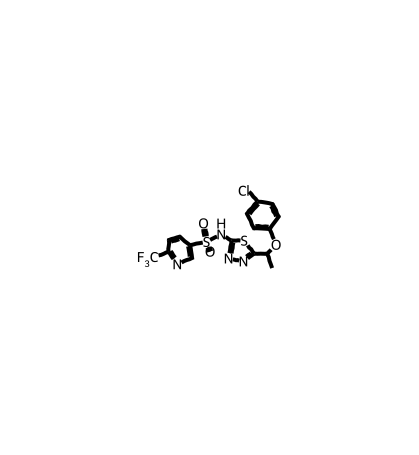 CC(Oc1ccc(Cl)cc1)c1nnc(NS(=O)(=O)c2ccc(C(F)(F)F)nc2)s1